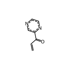 C=CC(=O)c1cnccn1